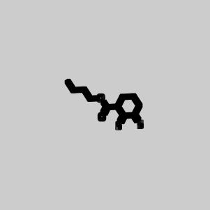 CCCCOC(=O)C1CCCC(=S)C1=S